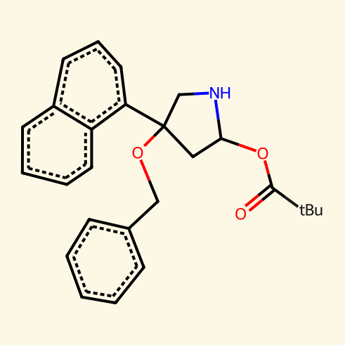 CC(C)(C)C(=O)OC1CC(OCc2ccccc2)(c2cccc3ccccc23)CN1